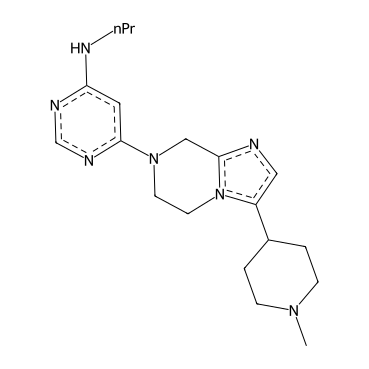 CCCNc1cc(N2CCn3c(C4CCN(C)CC4)cnc3C2)ncn1